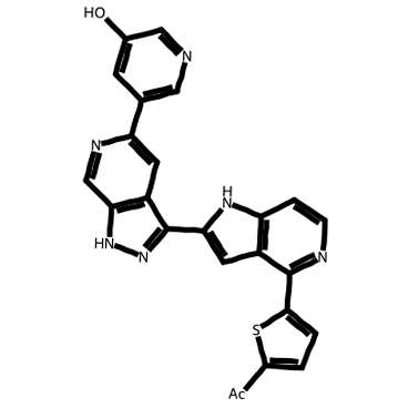 CC(=O)c1ccc(-c2nccc3[nH]c(-c4n[nH]c5cnc(-c6cncc(O)c6)cc45)cc23)s1